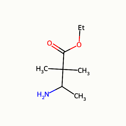 CCOC(=O)C(C)(C)C(C)N